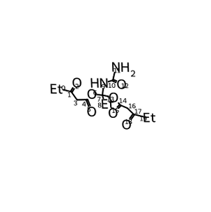 CCC(=O)CC(=O)OC(CC)(NC(N)=O)OC(=O)CC(=O)CC